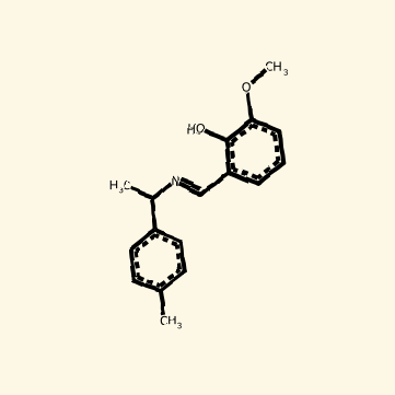 COc1cccc(C=NC(C)c2ccc(C)cc2)c1O